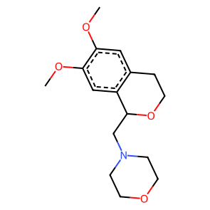 COc1cc2c(cc1OC)C(CN1CCOCC1)OCC2